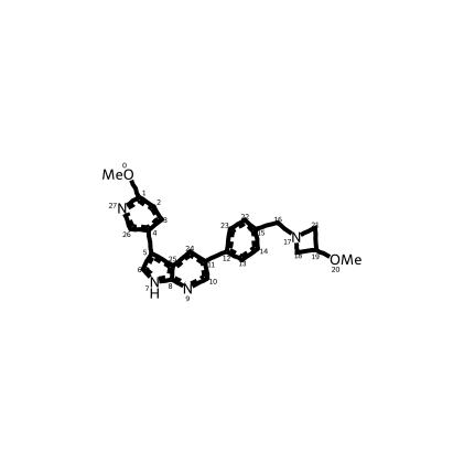 COc1ccc(-c2c[nH]c3ncc(-c4ccc(CN5CC(OC)C5)cc4)cc23)cn1